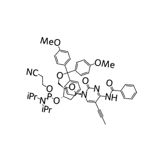 CC#Cc1cn([C@H]2C[C@H](OP(OCCC#N)N(C(C)C)C(C)C)[C@@H](COC(c3ccccc3)(c3ccc(OC)cc3)c3ccc(OC)cc3)O2)c(=O)nc1NC(=O)c1ccccc1